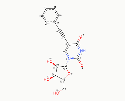 O=c1[nH]c(=O)n([C@@H]2O[C@H](CO)[C@@H](O)[C@H]2O)cc1C#Cc1ccccc1